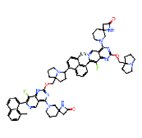 Cc1cccc2cccc(-c3ncc4c(N5CCCC6(CC(=O)N6)C5)nc(OCC56CCCN5C(c5ccc(C#N)c7c(-c8ncc9c(N%10CCCC%11(CC(=O)N%11)C%10)nc(OCC%10%11CCCN%10CCC%11)nc9c8F)cccc57)CC6)nc4c3F)c12